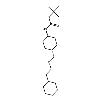 CC(C)(C)OC(=O)N[C@H]1CC[C@H](COCCC2CCCCC2)CC1